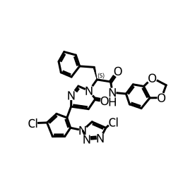 O=C(Nc1ccc2c(c1)OCO2)[C@H](Cc1ccccc1)n1cnc(-c2cc(Cl)ccc2-n2cc(Cl)nn2)cc1=O